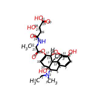 CCN(C)[C@@H]1Cc2ccc(O)c3c2[C@@]2(C)[C@@H](O3)C(OC(=O)[C@H](C)NC(=O)C[C@H](O)C(=O)O)=CC[C@@]12O